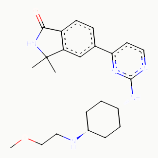 COCCN[C@H]1CC[C@H](Nc2nccc(-c3ccc4c(c3)C(C)(C)NC4=O)n2)CC1